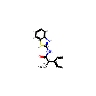 C=C/C(=C\C)C(C(=O)Nc1nc2ccccc2s1)S(=O)(=O)O